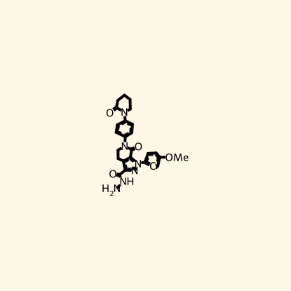 COc1ccc(-n2nc(C(=O)NN)c3c2C(=O)N(c2ccc(N4CCCCC4=O)cc2)CC3)cc1